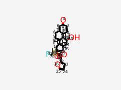 C[C@]12C=CC(=O)C=C1CC[C@@H]1[C@@H]2[C@@H](O)C[C@@]2(C)[C@H]1C[C@H]1OC(c3ccco3)O[C@]12C(=O)SCF